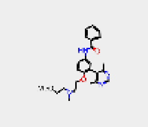 COCCN(C)CCOc1ccc(NC(=O)c2ccccc2)cc1-c1c(C)ncnc1C